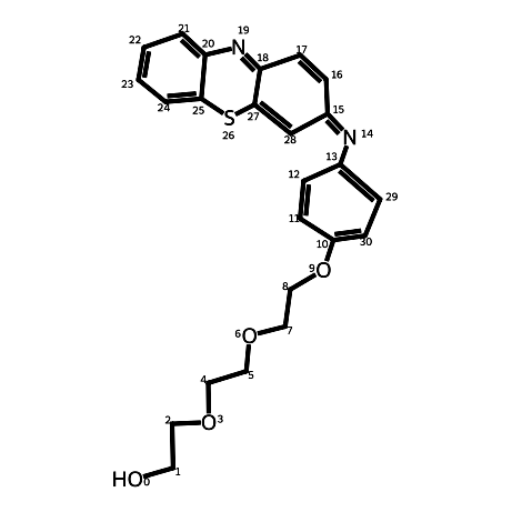 OCCOCCOCCOc1ccc(N=c2ccc3nc4ccccc4sc-3c2)cc1